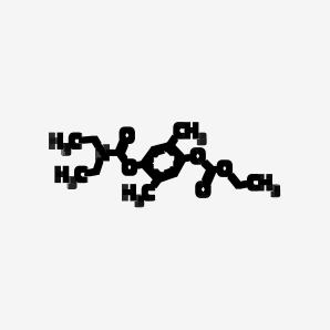 CCOC(=O)Oc1cc(C)c(OC(=O)N(CC)CC)cc1C